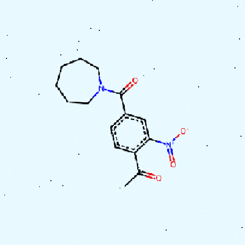 CC(=O)c1ccc(C(=O)N2CCCCCC2)cc1[N+](=O)[O-]